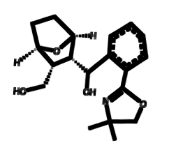 CC1(C)COC(c2ccccc2C(O)[C@@H]2[C@H](CO)[C@H]3CC[C@@H]2O3)=N1